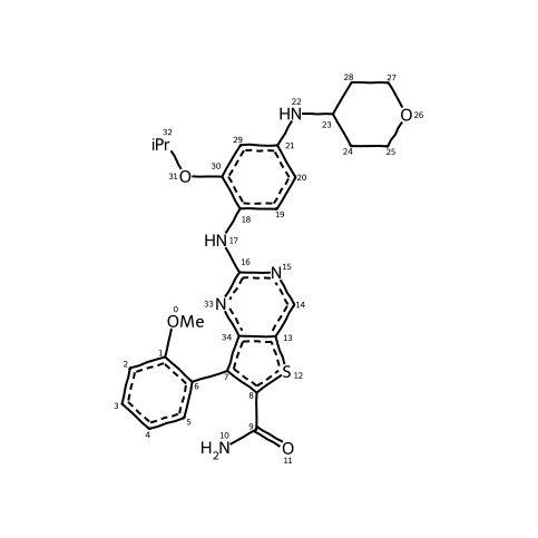 COc1ccccc1-c1c(C(N)=O)sc2cnc(Nc3ccc(NC4CCOCC4)cc3OC(C)C)nc12